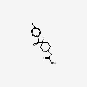 CC(C)(C)C(=O)ON1CCC(F)(C(=O)c2ccc(F)cc2)CC1